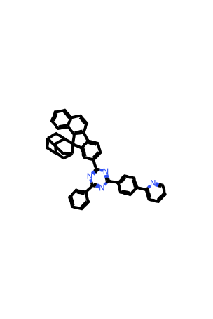 c1ccc(-c2nc(-c3ccc(-c4ccccn4)cc3)nc(-c3ccc4c(c3)C3(c5c-4ccc4ccccc54)C4CC5CC(C4)CC3C5)n2)cc1